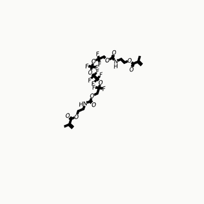 C=C(C)C(=O)OCCNC(=O)OCC(F)(F)OC(F)(F)OC(F)(F)C(F)(F)OC(F)(F)COC(=O)NCCOC(=O)C(=C)C